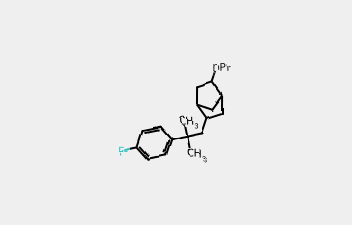 CCCC1CC2CC1CC2CC(C)(C)c1ccc(F)cc1